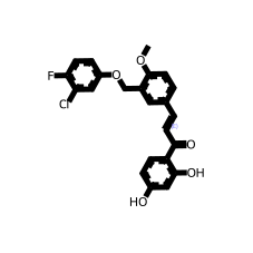 COc1ccc(/C=C/C(=O)c2ccc(O)cc2O)cc1COc1ccc(F)c(Cl)c1